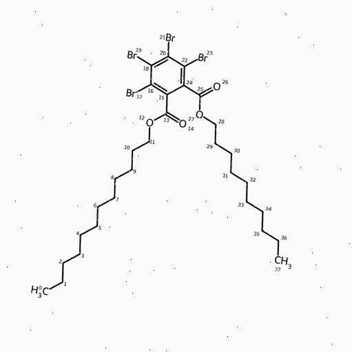 CCCCCCCCCCCCOC(=O)c1c(Br)c(Br)c(Br)c(Br)c1C(=O)OCCCCCCCCCC